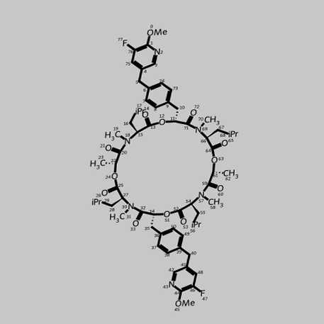 COc1ncc(Cc2ccc(C[C@H]3OC(=O)[C@H](CC(C)C)N(C)C(=O)[C@@H](C)OC(=O)[C@H](CC(C)C)N(C)C(=O)[C@@H](Cc4ccc(Cc5cnc(OC)c(F)c5)cc4)OC(=O)[C@H](CC(C)C)N(C)C(=O)[C@@H](C)OC(=O)[C@H](CC(C)C)N(C)C3=O)cc2)cc1F